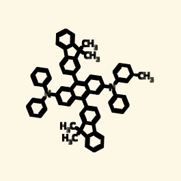 C[C@H]1C=C(N(c2ccccc2)c2ccc3c(-c4ccc5c(c4)C(C)(C)c4ccccc4-5)c4cc(N(c5ccccc5)c5ccccc5)ccc4c(-c4ccc5c(c4)C(C)(C)c4ccccc4-5)c3c2)C=CC1